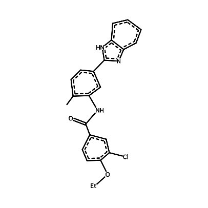 CCOc1ccc(C(=O)Nc2cc(-c3nc4ccccc4[nH]3)ccc2C)cc1Cl